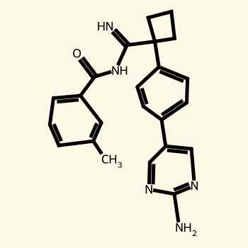 Cc1cccc(C(=O)NC(=N)C2(c3ccc(-c4cnc(N)nc4)cc3)CCC2)c1